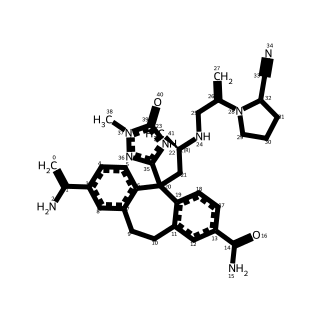 C=C(N)c1ccc2c(c1)CCc1cc(C(N)=O)ccc1C2(C[C@@H](C)NCC(=C)N1CCCC1C#N)c1nn(C)c(=O)[nH]1